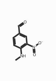 CNc1ccc([C]=O)cc1[N+](=O)[O-]